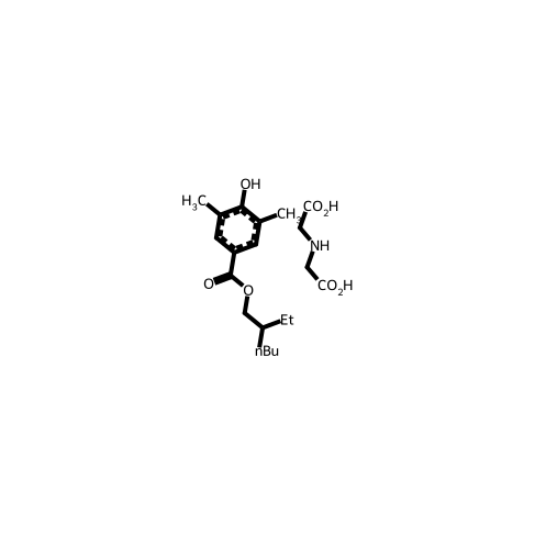 CCCCC(CC)COC(=O)c1cc(C)c(O)c(C)c1.O=C(O)CNCC(=O)O